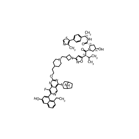 CCc1cccc2cc(O)cc(-c3ncc4c(N5CC6CCC(C5)N6)nc(OCCC5CCN(CC6CN(c7cc([C@@H](C(=O)N8C[C@H](O)C[C@H]8C(=O)N[C@@H](C)c8ccc(-c9scnc9C)cc8)C(C)C)on7)C6)CC5)nc4c3F)c12